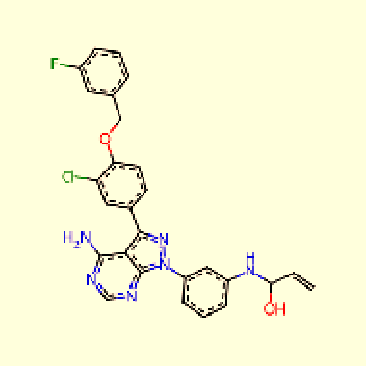 C=CC(O)Nc1cccc(-n2nc(-c3ccc(OCc4cccc(F)c4)c(Cl)c3)c3c(N)ncnc32)c1